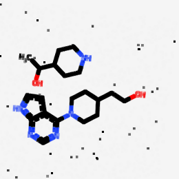 CC(O)C1CCNCC1.OCCC1CCN(c2ncnc3[nH]ccc23)CC1